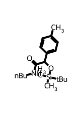 CCCCNC(=O)C(O[Si](C)(C)C(C)(C)C)c1ccc(C)cc1